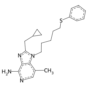 Cc1cnc(N)c2nc(CC3CC3)n(CCCCCSc3ccccc3)c12